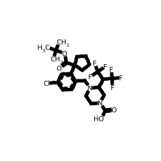 CC(C)(C)OC(=O)C1(c2cc(Cl)ccc2CN2CCN(C(=O)O)CC2C(C(F)(F)F)C(F)(F)F)CCCC1